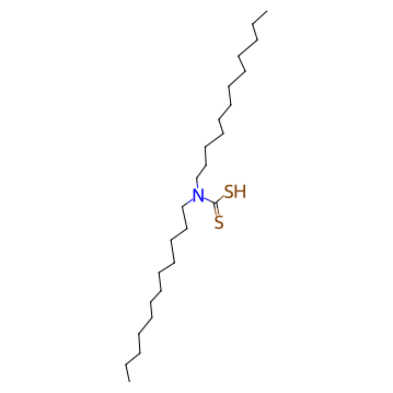 CCCCCCCCCCCCN(CCCCCCCCCCCC)C(=S)S